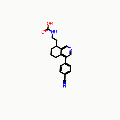 N#Cc1ccc(-c2cncc3c2CCCC3CCNC(=O)O)cc1